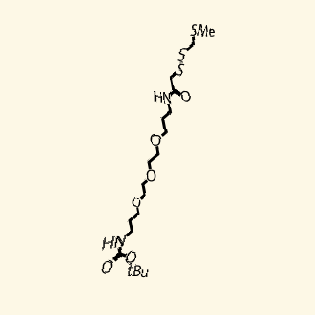 CSCSSCC(=O)NCCCOCCOCCOCCCNC(=O)OC(C)(C)C